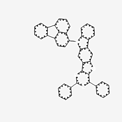 c1ccc(-c2nc(-c3ccccc3)c3oc4cc5c6ccccc6n(-c6ccc7c8c(cccc68)-c6ccccc6-7)c5cc4c3n2)cc1